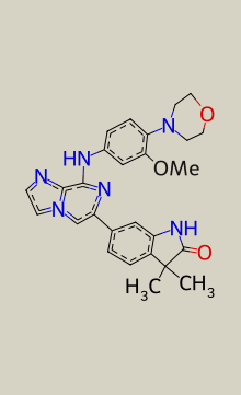 COc1cc(Nc2nc(-c3ccc4c(c3)NC(=O)C4(C)C)cn3ccnc23)ccc1N1CCOCC1